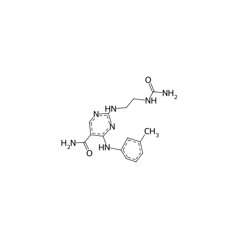 Cc1cccc(Nc2nc(NCCNC(N)=O)ncc2C(N)=O)c1